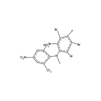 CN(c1c([N+](=O)[O-])cc([N+](=O)[O-])cc1C(F)(F)F)c1c(Br)c(Br)c(F)c(Br)c1Br